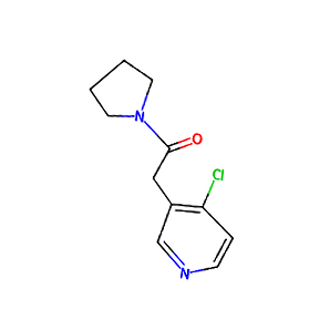 O=C(Cc1cnccc1Cl)N1CCCC1